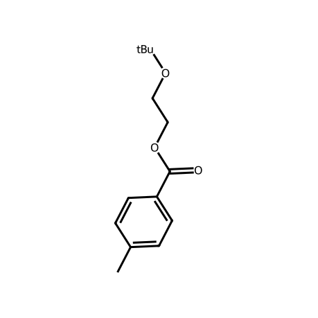 Cc1ccc(C(=O)OCCOC(C)(C)C)cc1